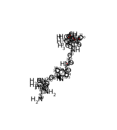 CC(C)O[Si](CCCC1C2C=CC1C1C(=O)N(CCC(=O)NCCOCCC(=O)NCCC(=O)N3Cc4ccccc4-c4c(nnn4CCOCCC(=O)N[C@H](C(=O)N[C@@H](CCCCN)C(N)=O)C(C)C)-c4ccccc43)C(=O)C21)(OC(C)C)OC(C)C